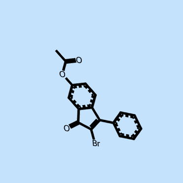 CC(=O)Oc1ccc2c(c1)C(=O)C(Br)=C2c1ccccc1